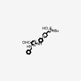 CC(C)(C)N(CCC1CCN(c2ccc(Nc3ncc(C=O)c(NCc4ccccc4)n3)cc2)CC1)C(=O)O